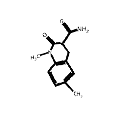 Cc1[c]cc2c(c1)CC(C(N)=O)C(=O)N2C